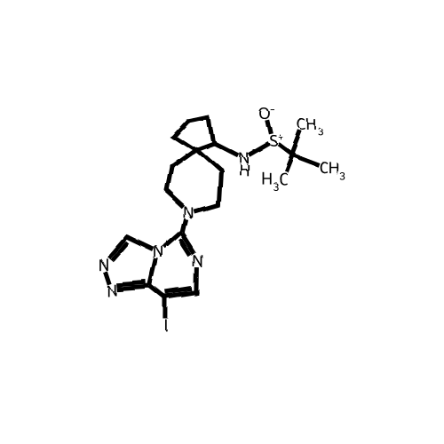 CC(C)(C)[S+]([O-])NC1CCCC12CCN(c1ncc(I)c3nncn13)CC2